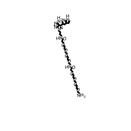 NCCOCCOCCOCCOCCC(=O)NCCOCCOCCOCCOCCC(=O)NCCCCn1nc(-c2cnc3[nH]ccc3c2)c2c(N)ncnc21